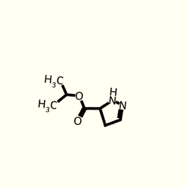 CC(C)OC(=O)C1CC=NN1